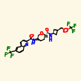 O=C(N[C@@H]1CC[C@@H](C(=O)NC2CC(COC(F)(F)F)C2)OC1)c1ccc2cc(C(F)(F)F)ccc2n1